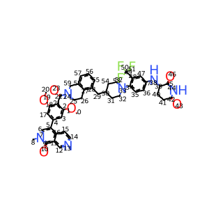 COc1cc(-c2cn(C)c(=O)c3cnccc23)cc(OC)c1C(=O)N1CCc2c(CC3CCN(c4ccc(NC5CCC(=O)NC5=O)cc4C(F)(F)F)CC3)cccc2C1